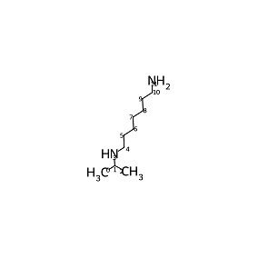 CC(C)NCCCCCCCN